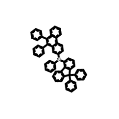 c1ccc(-c2c(-c3ccccc3)c3cc(N(c4ccccc4)c4cccc5c4-c4ccccc4C5(c4ccccc4)c4ccccc4)ccc3c3ccccc23)cc1